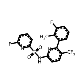 Cc1c(F)cccc1-c1nc(NS(=O)(=O)c2cccc(F)n2)ccc1C(F)(F)F